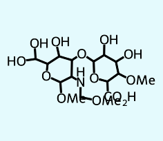 COCNC1C(OC)OC(C(O)O)C(O)C1OC1OC(C(=O)O)C(OC)C(O)C1O